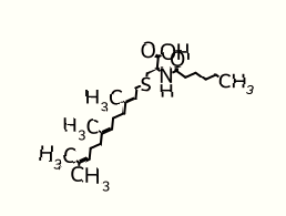 CCCCCC(=O)N[C@@H](CSC/C=C(\C)CC/C=C(\C)CCC=C(C)C)C(=O)O